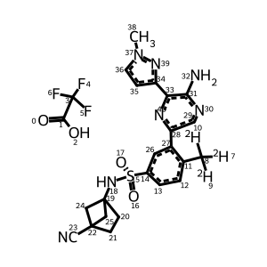 O=C(O)C(F)(F)F.[2H]C([2H])([2H])c1ccc(S(=O)(=O)NC23CCC(C#N)(C2)C3)cc1-c1cnc(N)c(-c2ccn(C)n2)n1